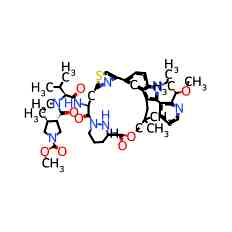 CCn1c(-c2cccnc2[C@H](C)OC)c2c3cc(ccc31)-c1csc(n1)C[C@H](NC(=O)[C@H](C(C)C)N(C)C(=O)[C@@H]1CN(C(=O)OC)C[C@@H]1C)C(=O)N1CCC[C@H](N1)C(=O)OCC(C)(C)C2